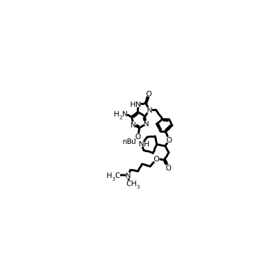 CCCCOc1nc(N)c2[nH]c(=O)n(Cc3ccc(OC(CC(=O)OCCCCN(C)C)C4CCNCC4)cc3)c2n1